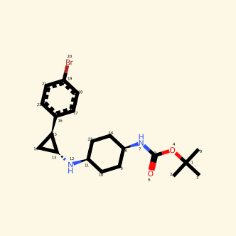 CC(C)(C)OC(=O)N[C@H]1CC[C@@H](N[C@@H]2C[C@H]2c2ccc(Br)cc2)CC1